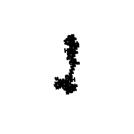 CC[C@@H](NC(=O)[C@@H]1C[C@H](NC(=O)CCCCCCCC(=O)N(C)CCc2cc(OC)c(Nc3ncc(Cl)c(Nc4ccccc4S(=O)(=O)C(C)C)n3)cc2C)CN1C(=O)[C@@H](NC(=O)[C@H](C)NC)C(C)(C)C)c1ccccc1